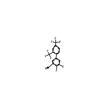 N#Cc1cc(-c2ccc(C(F)(F)F)cc2C(F)(F)F)cc(F)c1F